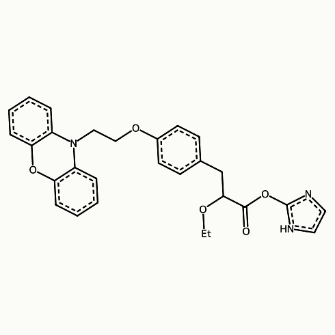 CCOC(Cc1ccc(OCCN2c3ccccc3Oc3ccccc32)cc1)C(=O)Oc1ncc[nH]1